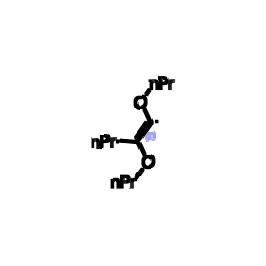 CCCO/[C]=C(\CCC)OCCC